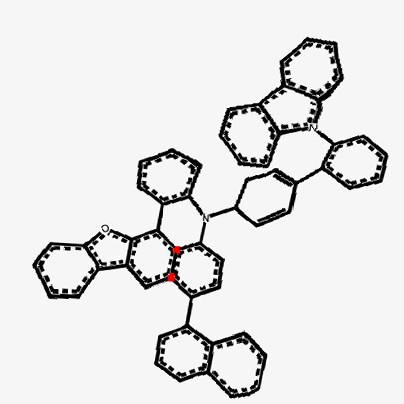 C1=CC(N(c2ccc(-c3cccc4ccccc34)cc2)c2ccccc2-c2cccc3c2oc2ccccc23)CC=C1c1ccccc1-n1c2ccccc2c2ccccc21